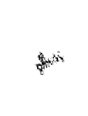 CC(=O)Nc1ccc(OCC2COC(Cn3ccnc3)(c3cccc(Cl)c3)O2)cc1